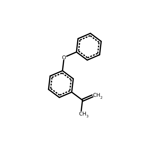 C=C(C)c1cccc(Oc2ccccc2)c1